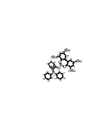 CC(C)(C)c1cc(C(C)(C)C)c2op(OC3C4CCC(C4)C3P(c3ccccc3)c3ccccc3)oc3c(C(C)(C)C)cc(C(C)(C)C)cc3c2c1